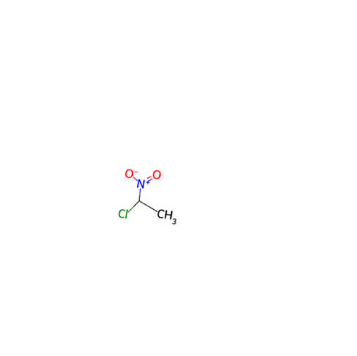 CC(Cl)[N+](=O)[O-]